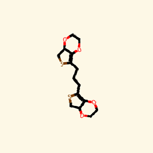 C(CC1=C2OCCOC2CS1)CC1=C2OCCOC2CS1